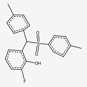 Cc1ccc(C(c2cccc(F)c2O)S(=O)(=O)c2ccc(C)cc2)cc1